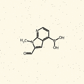 Cn1c(C=O)cc2c(B(O)O)ccnc21